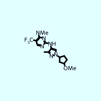 CNc1nc(Nc2cn(C3CCC(OC)C3)nc2C)ncc1C(F)(F)F